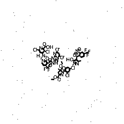 CCOC(=O)C1=NN(c2ccc(Cl)cc2Cl)C(C)(C(=O)OCC)C1.COc1cc(OC)n2nc(NS(=O)(=O)c3c(C(F)(F)F)ccnc3OC)nc2n1.Cc1nn(C)c(O)c1C(=O)c1ccc(C(F)(F)F)cc1S(C)(=O)=O.Nc1cc(Cl)nc(C(=O)O)c1Cl